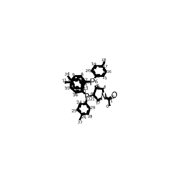 CC(=O)N1C[C@@H](P(c2ccc(C)cc2)c2ccc(C)cc2)[C@H](P(c2ccc(C)cc2)c2ccc(C)cc2)C1